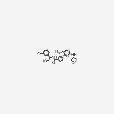 Cc1cnc(N[C@@H]2CCOC2)nc1-n1ccc(C(=O)NC(CO)c2cccc(Cl)c2)c1